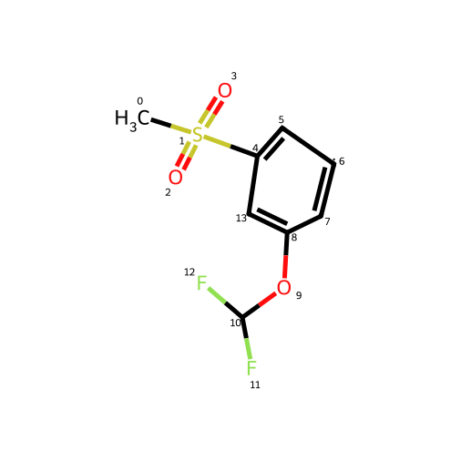 CS(=O)(=O)c1c[c]cc(OC(F)F)c1